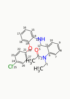 CCN(C(C)=O)c1ccccc1CNc1ccccc1Oc1ccc(Cl)cc1